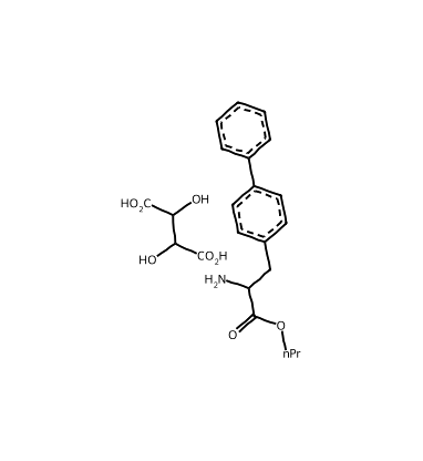 CCCOC(=O)C(N)Cc1ccc(-c2ccccc2)cc1.O=C(O)C(O)C(O)C(=O)O